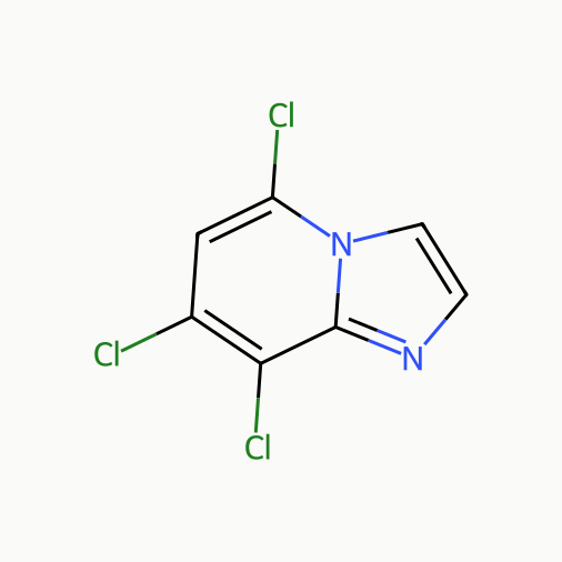 Clc1cc(Cl)n2ccnc2c1Cl